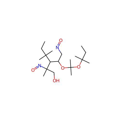 CCC(C)(C)OC(C)(C)OC(CN=O)C(C(C)(C)CC)C(C)(CO)N=O